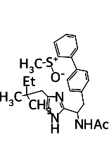 CCC(C)(C)Cc1c[nH]c(C(Cc2ccc(-c3ccccc3[S+](C)[O-])cc2)NC(C)=O)n1